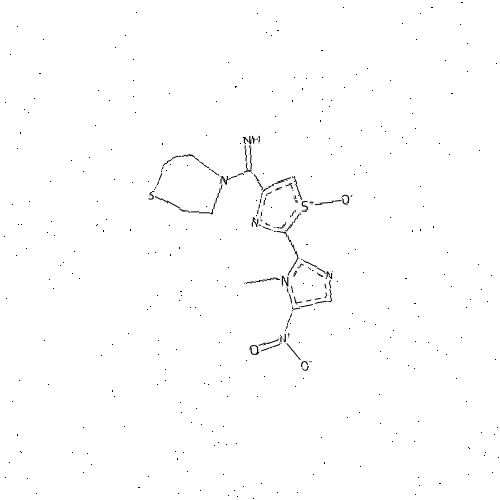 Cn1c([N+](=O)[O-])cnc1-c1nc(C(=N)N2CCSCC2)c[s+]1[O-]